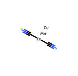 N#[C][Fe][C]#N.[Cu].[Mn]